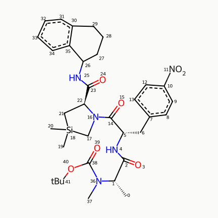 C[C@@H](C(=O)N[C@@H](Cc1ccc([N+](=O)[O-])cc1)C(=O)N1C[Si](C)(C)C[C@H]1C(=O)NC1CCCc2ccccc21)N(C)C(=O)OC(C)(C)C